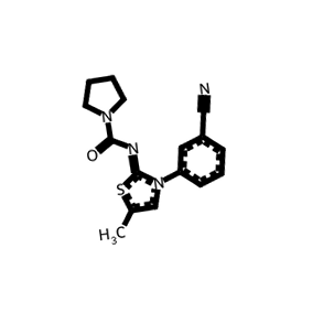 Cc1cn(-c2cccc(C#N)c2)/c(=N/C(=O)N2CCCC2)s1